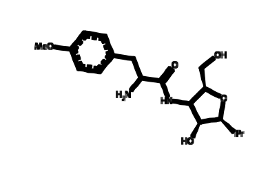 COc1ccc(CC(N)C(=O)NC2[C@@H](CO)O[C@@H](C(C)C)[C@H]2O)cc1